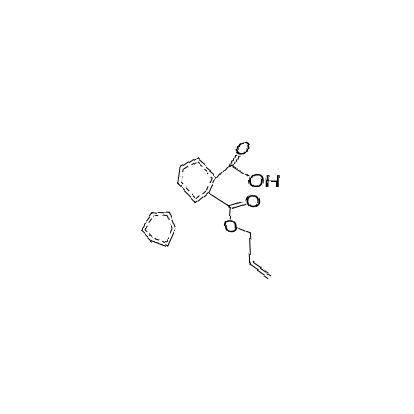 C=CCOC(=O)c1ccccc1C(=O)O.c1ccccc1